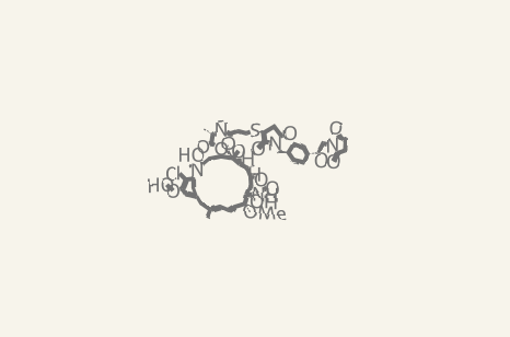 CO[C@@H]1/C=C/C=C(\C)Cc2cc(OO)c(Cl)c(c2)N(C)C(O)C[C@H](OC(=O)[C@H](C)N(C)C(=O)CCS[C@H]2CC(=O)N(C[C@H]3CC[C@H](C(=O)CN4C(=O)CCC4=O)CC3)C2=O)[C@]2(C)O[C@H]2[C@H](C)[C@@H]2C[C@@]1(O)NC(=O)O2